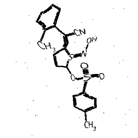 Cc1ccc(S(=O)(=O)OC2C=CC(=C(C#N)c3ccccc3C)S2=NO)cc1